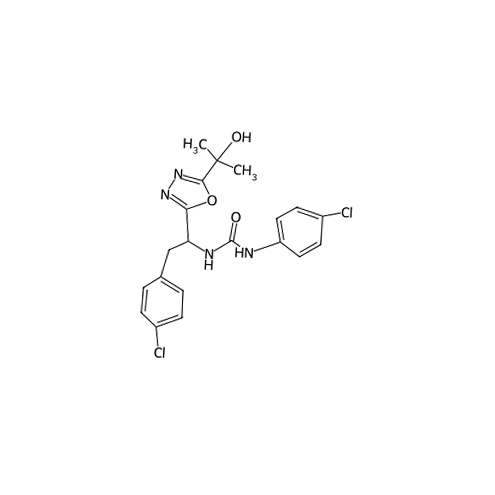 CC(C)(O)c1nnc(C(Cc2ccc(Cl)cc2)NC(=O)Nc2ccc(Cl)cc2)o1